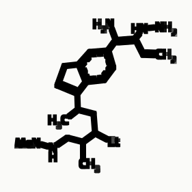 C=C/C(NN)=C(/N)c1ccc2c(c1)CC=C2C(C)CC(CC)C(C)CNNC